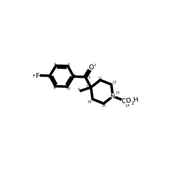 CC1(C(=O)c2ccc(F)cc2)CCN(C(=O)O)CC1